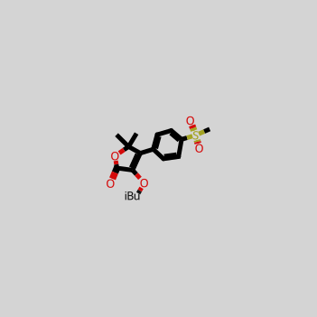 CCC(C)OC1=C(c2ccc(S(C)(=O)=O)cc2)C(C)(C)OC1=O